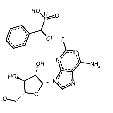 Nc1nc(F)nc2c1ncn2[C@@H]1O[C@H](CO)[C@@H](O)[C@@H]1O.O=[PH](O)C(O)c1ccccc1